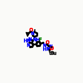 C[C@H]1CC[C@@H](Nc2n[nH]c3nccc(-c4ccc(CNC(=O)c5noc(C(C)(C)C)n5)c(F)c4)c23)CN1C(=O)C1CC1